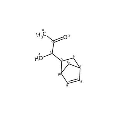 CC(=O)C(O)C1CC2C=CC1C2